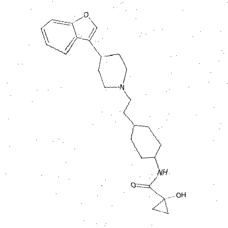 O=C(NC1CCC(CCN2CCC(c3coc4ccccc34)CC2)CC1)C1(O)CC1